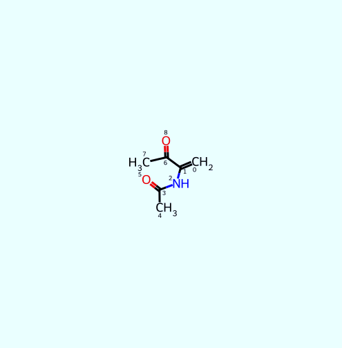 C=C(NC(C)=O)C(C)=O